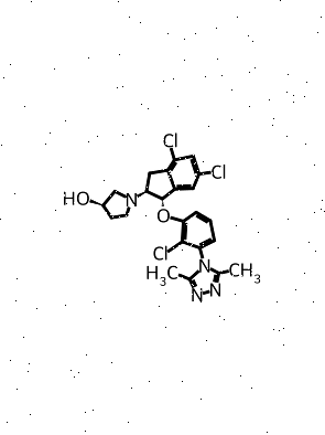 Cc1nnc(C)n1-c1cccc(O[C@H]2c3cc(Cl)cc(Cl)c3C[C@@H]2N2CC[C@@H](O)C2)c1Cl